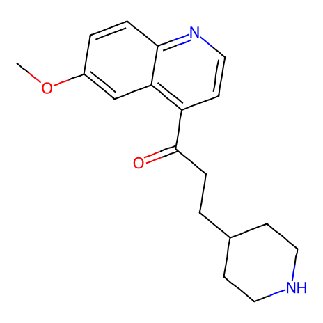 COc1ccc2nccc(C(=O)CCC3CCNCC3)c2c1